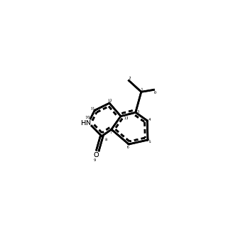 CC(C)c1cccc2c(=O)[nH]ccc12